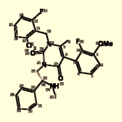 COc1cccc(-c2c(C)n(Cc3c(F)cccc3C(F)(F)F)c(=O)n(C[C@H](NI)c3ccccc3)c2=O)c1F